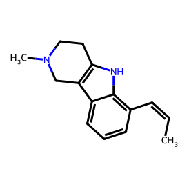 C/C=C\c1cccc2c3c([nH]c12)CCN(C)C3